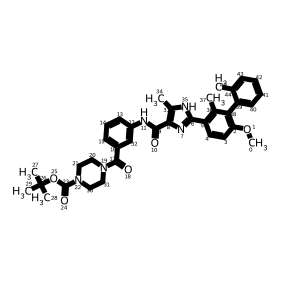 COc1ccc(-c2nc(C(=O)Nc3cccc(C(=O)N4CCN(C(=O)OC(C)(C)C)CC4)c3)c(C)[nH]2)c(C)c1-c1ccccc1C